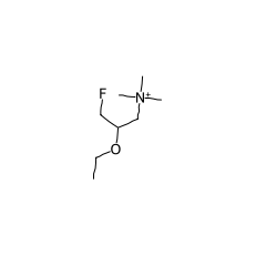 CCOC(CF)C[N+](C)(C)C